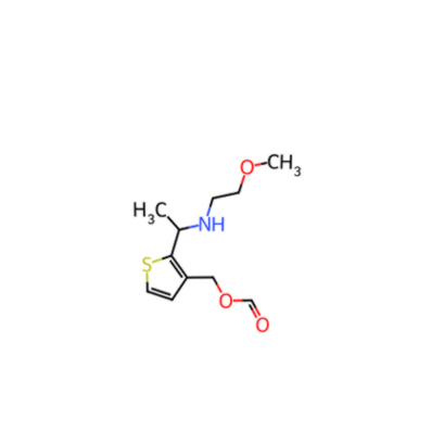 COCCNC(C)c1sccc1COC=O